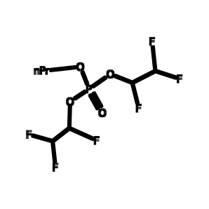 CCCOP(=O)(OC(F)C(F)F)OC(F)C(F)F